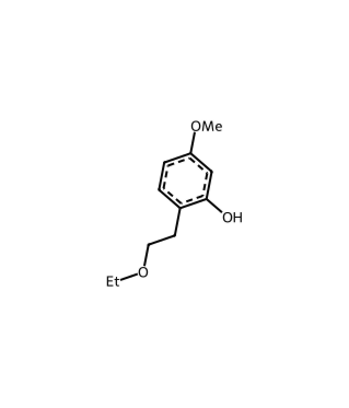 CCOCCc1ccc(OC)cc1O